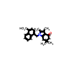 Cc1c2c(n(Cc3ccc(C(=O)O)c4ccccc34)c1C)CC(C)(C)CC2=O